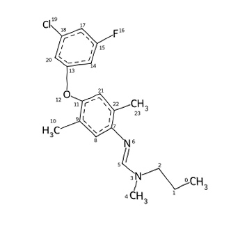 CCCN(C)C=Nc1cc(C)c(Oc2cc(F)cc(Cl)c2)cc1C